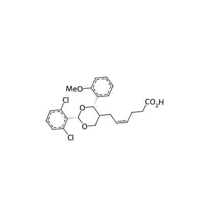 COc1ccccc1[C@H]1O[C@@H](c2c(Cl)cccc2Cl)OCC1C/C=C\CCC(=O)O